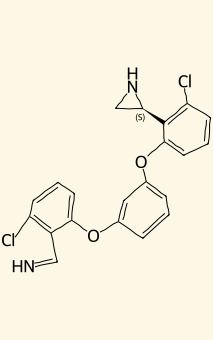 N=Cc1c(Cl)cccc1Oc1cccc(Oc2cccc(Cl)c2[C@H]2CN2)c1